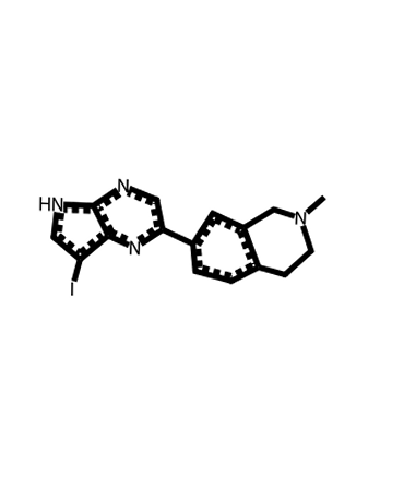 CN1CCc2ccc(-c3cnc4[nH]cc(I)c4n3)cc2C1